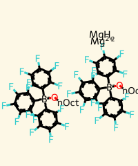 CCCCCCCCO[B-](c1c(F)c(F)c(F)c(F)c1F)(c1c(F)c(F)c(F)c(F)c1F)c1c(F)c(F)c(F)c(F)c1F.CCCCCCCCO[B-](c1c(F)c(F)c(F)c(F)c1F)(c1c(F)c(F)c(F)c(F)c1F)c1c(F)c(F)c(F)c(F)c1F.[Mg+2].[MgH2]